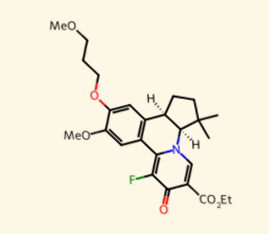 CCOC(=O)c1cn2c(c(F)c1=O)-c1cc(OC)c(OCCCOC)cc1[C@H]1CCC(C)(C)[C@H]12